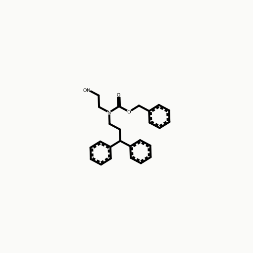 O=NCCN(CCC(c1ccccc1)c1ccccc1)C(=O)OCc1ccccc1